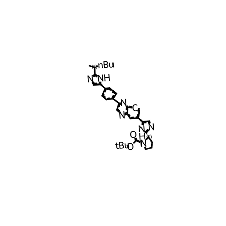 CCCC[C@H](C)c1ncc(-c2ccc(-c3cnc4cc(-c5cnc([C@@H]6CCCN6C(=O)OC(C)(C)C)[nH]5)ccc4n3)cc2)[nH]1